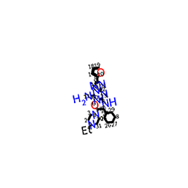 CCN1CCN(C(=O)[C@@H](Nc2nc(N)n3nc(-c4ccco4)nc3n2)C2CCCCC2)CC1